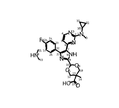 CN(c1nccc(-c2[nH]c(C3OCC(C)(C(=O)O)CO3)nc2-c2ccc(F)cc2)n1)C1CC1.CNC